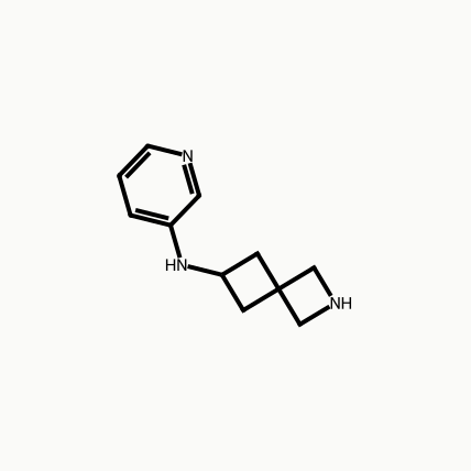 c1cncc(NC2CC3(CNC3)C2)c1